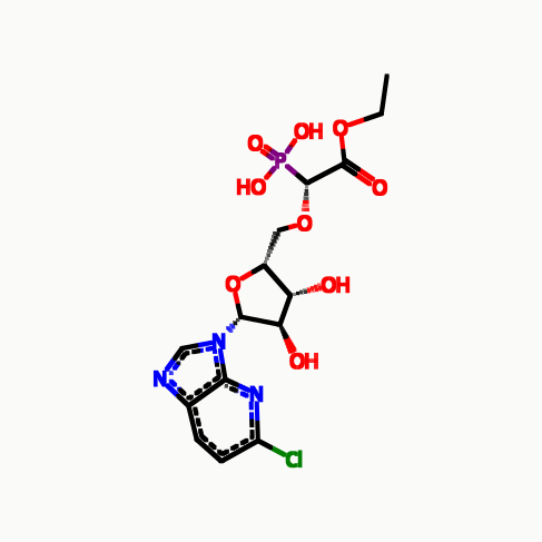 CCOC(=O)[C@H](OC[C@H]1O[C@@H](n2cnc3ccc(Cl)nc32)[C@H](O)[C@H]1O)P(=O)(O)O